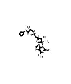 CCOc1nc(N)nc2c1ncn2[C@@H]1O[C@](F)(CO[PH](=O)N[C@@H](C)C(=O)OC2CCCC2)C(O)[C@@]1(C)F